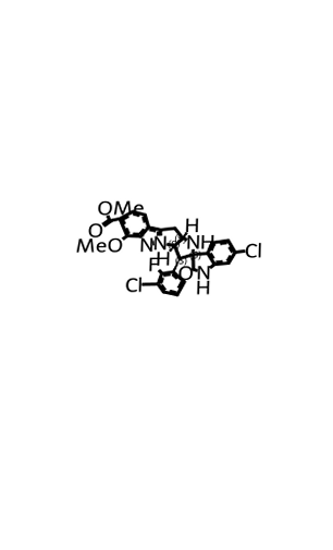 COC(=O)c1ccc2c3n(nc2c1OC)[C@@H]1[C@H](C3)N[C@@]2(C(=O)Nc3cc(Cl)ccc32)[C@H]1c1cccc(Cl)c1F